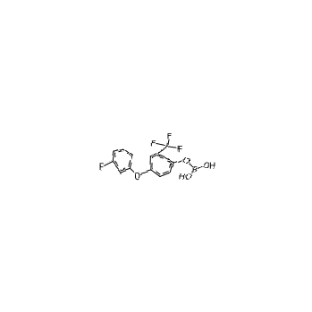 OB(O)Oc1ccc(Oc2cccc(F)c2)cc1C(F)(F)F